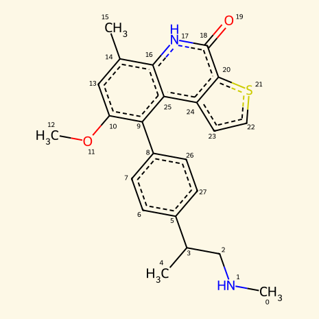 CNCC(C)c1ccc(-c2c(OC)cc(C)c3[nH]c(=O)c4sccc4c23)cc1